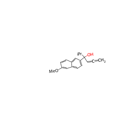 C=C=CC(O)(c1ccc2cc(OC)ccc2c1)C(C)C